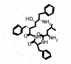 CC(C)CC(N)C(=O)NC(Cc1ccccc1)C(=O)NC(=O)[C@H](Cc1ccccc1)C[C@H](O)[C@@H](N)Cc1ccccc1